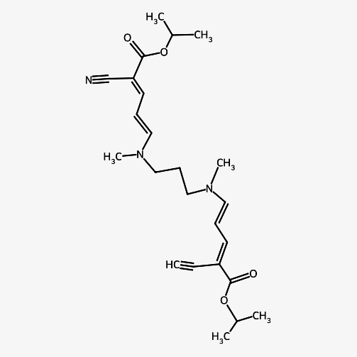 C#C/C(=C\C=C\N(C)CCCN(C)/C=C/C=C(\C#N)C(=O)OC(C)C)C(=O)OC(C)C